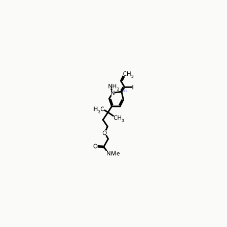 C=C/C(I)=C1/C=CC(C(C)(C)CCOCC(=O)NC)=CN1N